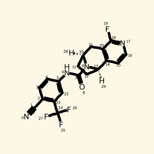 N#Cc1ccc(NC(=O)N2[C@H]3CC[C@@H]2c2ccnc(F)c2C3)cc1C(F)(F)F